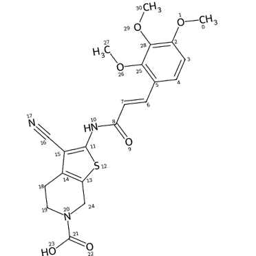 COc1ccc(C=CC(=O)Nc2sc3c(c2C#N)CCN(C(=O)O)C3)c(OC)c1OC